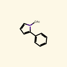 CC(=O)OI1C=CC=C1c1ccccc1